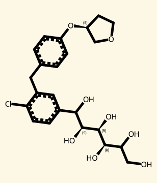 OCC(O)[C@@H](O)[C@H](O)[C@@H](O)C(O)c1ccc(Cl)c(Cc2ccc(O[C@H]3CCOC3)cc2)c1